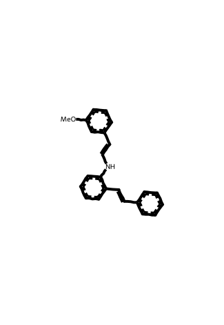 COc1cccc(C=CNc2ccccc2C=Cc2ccccc2)c1